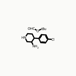 CC(C)(C)OC=O.NC1CNCCC1c1ccc(Cl)cc1